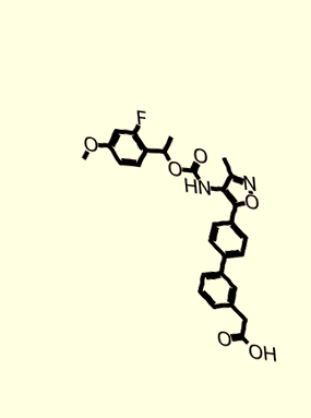 COc1ccc(C(C)OC(=O)Nc2c(C)noc2-c2ccc(-c3cccc(CC(=O)O)c3)cc2)c(F)c1